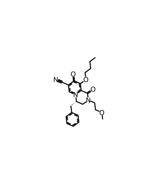 CCCCOc1c2n(cc(C#N)c1=O)[C@@H](Cc1ccccc1)CN(CCOC)C2=O